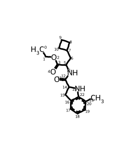 CCOC(=O)C(CC1CCC1)NC(=O)C1Cc2cccc(C)c2N1